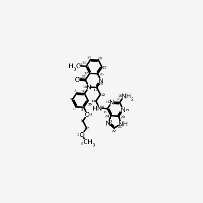 COCCOc1cccc(-n2c(CCNc3nc(N)nc4[nH]cnc34)nc3cccc(C)c3c2=O)c1